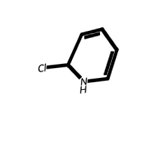 Cl[C]1C=CC=CN1